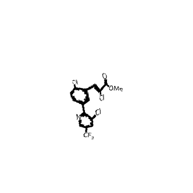 COC(=O)C(Cl)=Cc1cc(-c2ncc(C(F)(F)F)cc2Cl)ccc1Cl